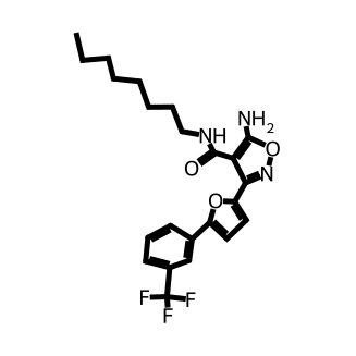 CCCCCCCCNC(=O)c1c(-c2ccc(-c3cccc(C(F)(F)F)c3)o2)noc1N